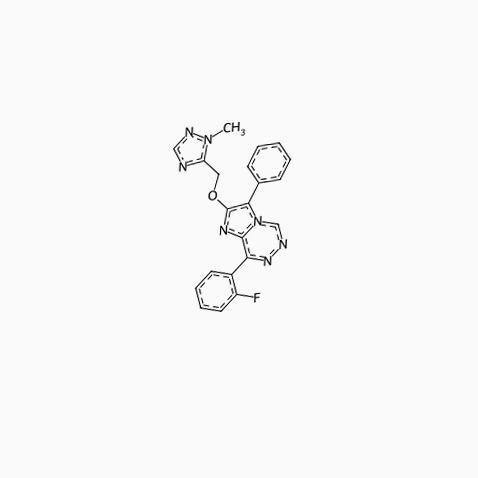 Cn1ncnc1COc1nc2c(-c3ccccc3F)nncn2c1-c1ccccc1